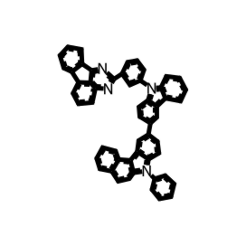 c1ccc(-n2c3ccc(-c4ccc5c(c4)c4ccccc4n5-c4cccc(-c5nc6c7c(cccc7n5)-c5ccccc5-6)c4)cc3c3c4ccccc4ccc32)cc1